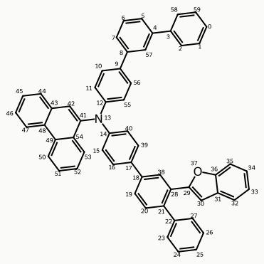 c1ccc(-c2cccc(-c3ccc(N(c4ccc(-c5ccc(-c6ccccc6)c(-c6cc7ccccc7o6)c5)cc4)c4cc5ccccc5c5ccccc45)cc3)c2)cc1